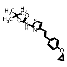 CC(C)(C)OC(=O)Nc1nc(C=Cc2ccc(OC3CC3)cc2)cs1